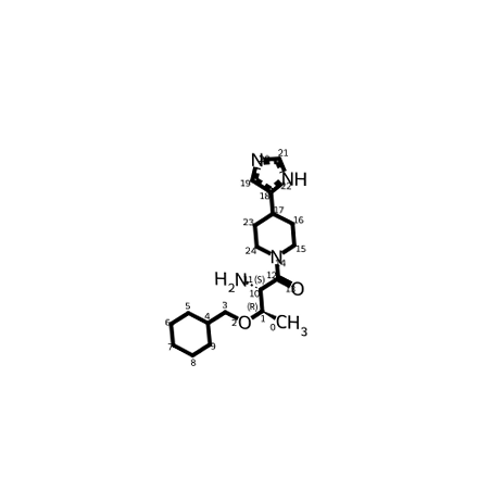 C[C@@H](OCC1CCCCC1)[C@H](N)C(=O)N1CCC(c2cnc[nH]2)CC1